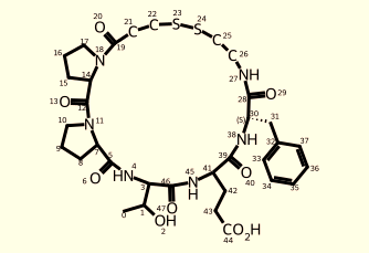 CC(O)C1NC(=O)C2CCCN2C(=O)C2CCCN2C(=O)CCSSCCNC(=O)[C@H](Cc2ccccc2)NC(=O)C(CCC(=O)O)NC1=O